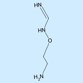 N=CNOCCN